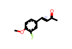 COc1ccc(/C=C/C(C)=O)cc1F